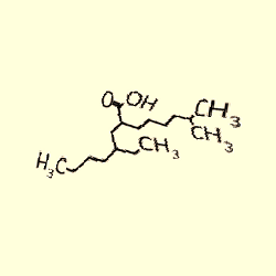 CCCCC(CC)CC(CCCCC(C)C)C(=O)O